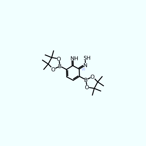 CC1(C)OB(C2=CC=C(B3OC(C)(C)C(C)(C)O3)/C(=N/S)C2=N)OC1(C)C